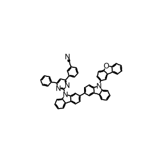 N#Cc1cccc(-c2cc(-c3ccccc3)nc(-n3c4ccccc4c4ccc(-c5ccc6c(c5)c5ccccc5n6-c5ccc6oc7ccccc7c6c5)cc43)n2)c1